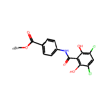 CCCCOC(=O)c1ccc(NC(=O)c2c(O)c(Cl)cc(Cl)c2O)cc1